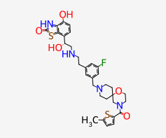 Cc1ccc(C(=O)N2CCOC3(CCN(Cc4cc(F)cc(CCNC[C@H](O)c5ccc(O)c6[nH]c(=O)sc56)c4)CC3)C2)s1